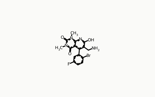 Cn1c(=O)c2c(-c3cc(F)ccc3Br)c(CN)c(O)nc2n(C)c1=O